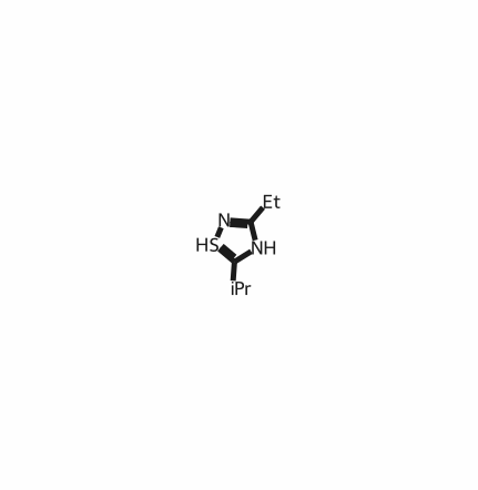 CCC1=N[SH]=C(C(C)C)N1